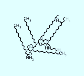 CCCCCCCCCCCCN(CC(N)=O)C(=O)CN(CCCCCCCCCCCC)C(=O)CN(CCCCCCCCCCCC)C(=O)CN(CCCCCCCCCCCC)C(=O)CN(CCCCCCCCCCCC)C(=O)CNCCN